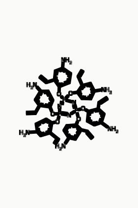 C=Cc1cc(N)ccc1OP1(Oc2ccc(N)cc2C=C)=NP(Oc2ccc(N)cc2C=C)(Oc2ccc(N)cc2C=C)=NP(Oc2ccc(N)cc2C=C)(Oc2ccc(N)cc2C=C)=N1